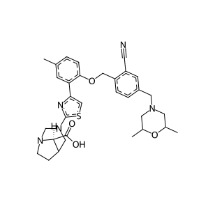 Cc1ccc(OCc2ccc(CN3CC(C)OC(C)C3)cc2C#N)c(-c2csc(N3CC4CCN(C3)[C@H]4C(=O)O)n2)c1